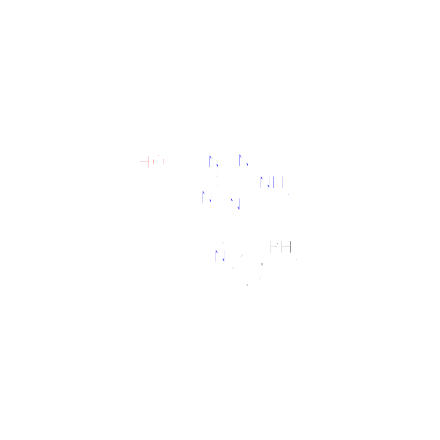 Bc1cccc2nc(Sc3nc4c(N)ncnc4n3CCCO)sc12